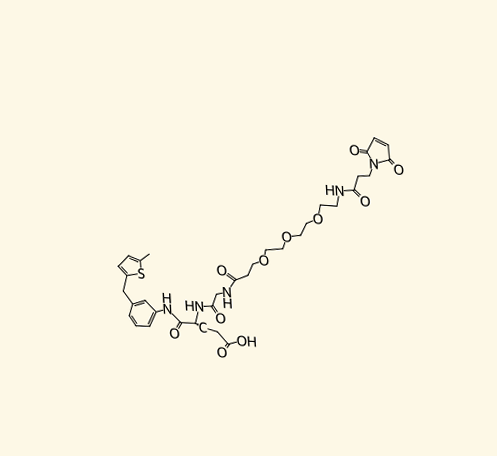 Cc1ccc(Cc2cccc(NC(=O)[C@H](CCC(=O)O)NC(=O)CNC(=O)CCOCCOCCOCCNC(=O)CCN3C(=O)C=CC3=O)c2)s1